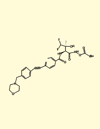 C=C(C#Cc1ccc(CN2CCOCC2)cc1)/C=C\C(=C/C)C(=O)N[C@H](C(=O)NOC(=O)C(C)(C)C)[C@](C)(O)C(F)F